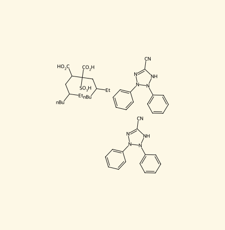 CCCCC(CC)CC(C(=O)O)C(CC(CC)CCCC)(C(=O)O)S(=O)(=O)O.N#CC1=NN(c2ccccc2)N(c2ccccc2)N1.N#CC1=NN(c2ccccc2)N(c2ccccc2)N1